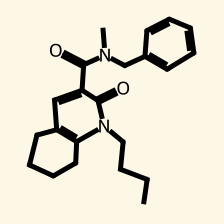 CCCCn1c2c(cc(C(=O)N(C)Cc3ccccc3)c1=O)CCCC2